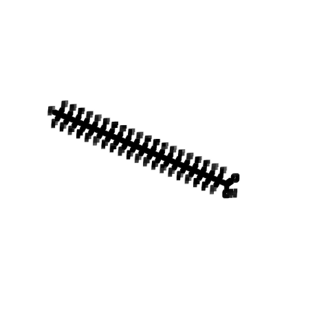 O=C(O)C(F)(F)C(F)(F)C(F)(F)C(F)(F)C(F)(F)C(F)(F)C(F)(F)C(F)(F)C(F)(F)C(F)(F)C(F)(F)C(F)(F)C(F)(F)C(F)(F)C(F)(F)C(F)(F)C(F)(F)C(F)(F)C(F)(F)C(F)(F)F